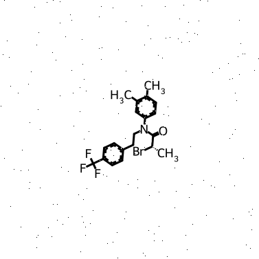 Cc1ccc(N(CCc2ccc(C(F)(F)F)cc2)C(=O)[C@H](C)Br)cc1C